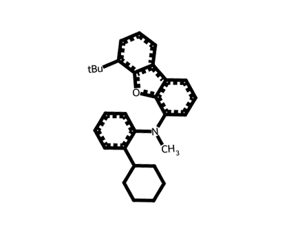 CN(c1ccccc1C1CCCCC1)c1cccc2c1oc1c(C(C)(C)C)cccc12